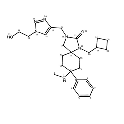 CNC1(c2ccccc2)CCC2(CC1)CN(Cc1cn(CCO)nn1)C(=O)N2CC1CCC1